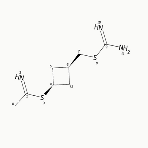 CC(=N)S[C@H]1C[C@@H](CSC(=N)N)C1